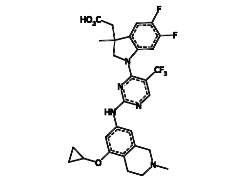 CN1CCc2c(cc(Nc3ncc(C(F)(F)F)c(N4CC(C)(CC(=O)O)c5cc(F)c(F)cc54)n3)cc2OC2CC2)C1